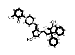 CN(C)C(=O)C(CCN1C[C@H](O)C/C1=C\N1CCN(c2cccc(Cl)c2Cl)CC1)(c1ccccc1)c1ccccc1